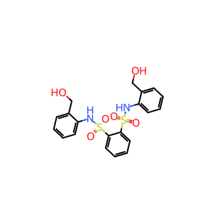 O=S(=O)(Nc1ccccc1CO)c1ccccc1S(=O)(=O)Nc1ccccc1CO